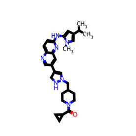 CC(C)c1cc(Nc2ccc3ncc(C4=CN(CC5CCN(C(=O)C6CC6)CC5)NC4)cc3n2)n(C)c1